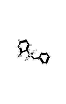 O=S(=O)(Cc1ccccc1)c1cccnc1Br